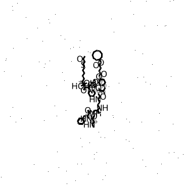 C=C(CNC(=O)[C@H](Cc1ccccc1)NC(=O)[C@H](C)NC)NCCNC(=O)C[C@H](OC(=O)[C@@H]1CCCCN1C(=O)C(=O)C(O)(O)[C@H](C)CCCCCSCC(C)=O)[C@H](C)C[C@@H]1CC[C@@H](OC(=O)CCC(=O)OC2CCCCCCCC2)[C@H](OC)C1